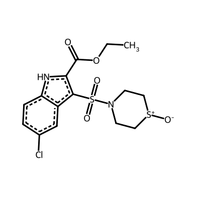 CCOC(=O)c1[nH]c2ccc(Cl)cc2c1S(=O)(=O)N1CC[S+]([O-])CC1